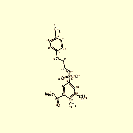 COC(=O)c1cc(S(=O)(=O)NCCOc2ccc(C(F)(F)F)cc2)cc(C)c1C